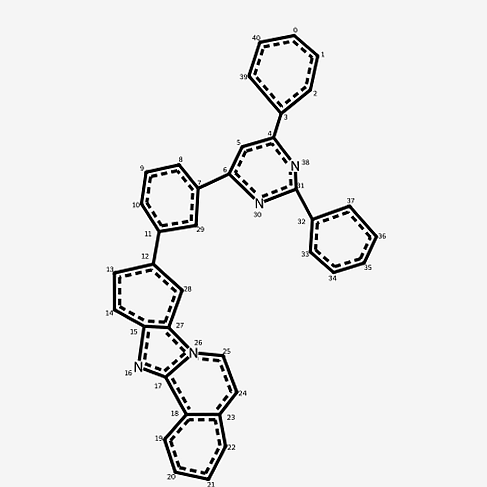 c1ccc(-c2cc(-c3cccc(-c4ccc5nc6c7ccccc7ccn6c5c4)c3)nc(-c3ccccc3)n2)cc1